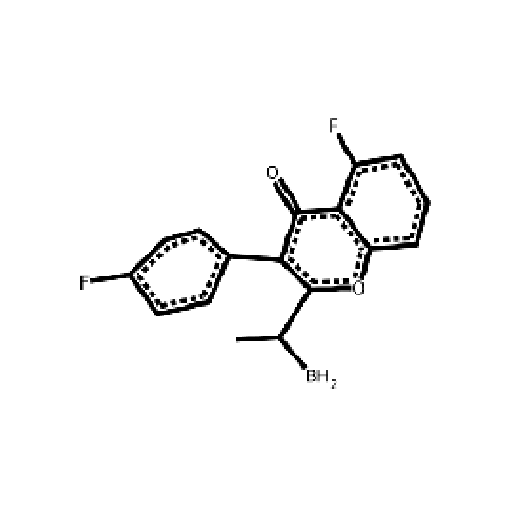 BC(C)c1oc2cccc(F)c2c(=O)c1-c1ccc(F)cc1